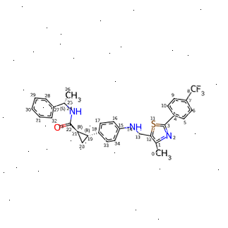 Cc1nc(-c2ccc(C(F)(F)F)cc2)sc1CNc1ccc([C@@H]2C[C@H]2C(=O)N[C@@H](C)c2ccccc2)cc1